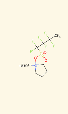 CCCCC[N+]1(OS(=O)(=O)C(F)(F)C(F)(F)C(F)(F)C(F)(F)F)CCCC1